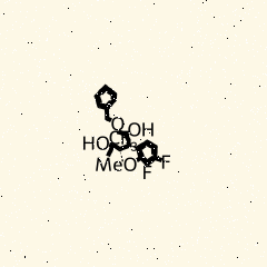 COc1c([C@@H]([C@H](O)COCc2ccccc2)[C@H](C)[C@@](C)(O)C(F)(F)F)ccc(F)c1F